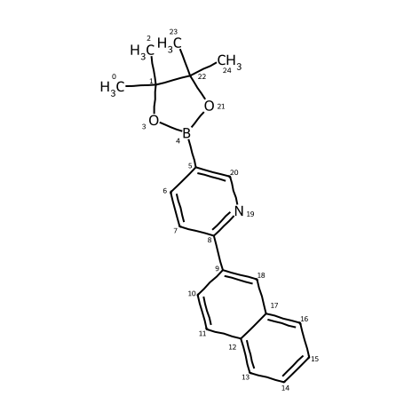 CC1(C)OB(c2ccc(-c3ccc4ccccc4c3)nc2)OC1(C)C